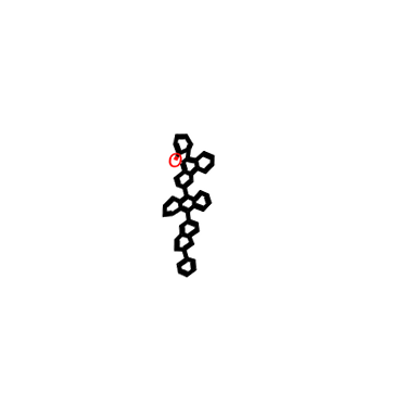 c1ccc(-c2ccc3cc(-c4c5ccccc5c(-c5ccc6c(c5)c5ccccc5c5c7ccccc7oc65)c5ccccc45)ccc3c2)cc1